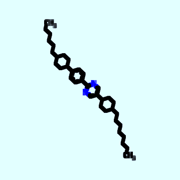 CCCCCCCCC1CCC(c2cnc(-c3ccc(C4CCC(CCCCCC)CC4)cc3)nc2)CC1